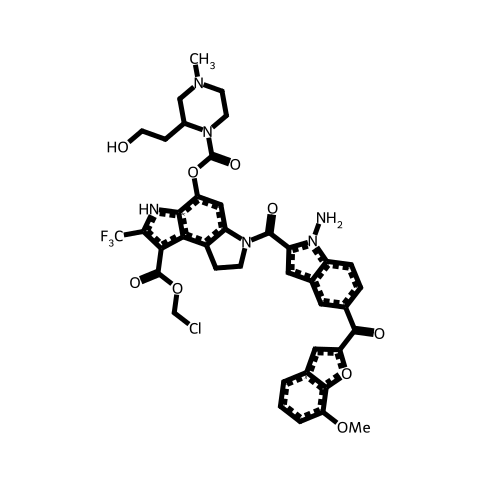 COc1cccc2cc(C(=O)c3ccc4c(c3)cc(C(=O)N3CCc5c3cc(OC(=O)N3CCN(C)CC3CCO)c3[nH]c(C(F)(F)F)c(C(=O)OCCl)c53)n4N)oc12